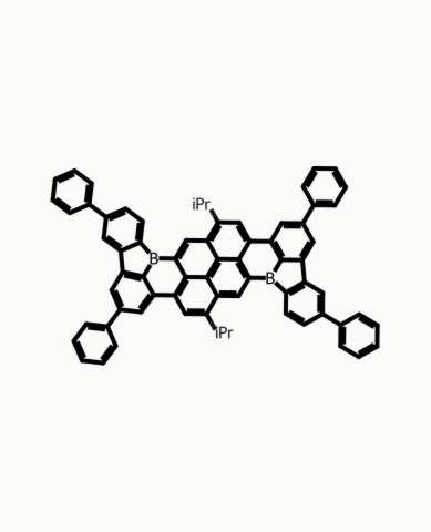 CC(C)c1cc2c3c(cc4c(C(C)C)cc5c6c(cc1c3c46)B1c3ccc(-c4ccccc4)cc3-c3cc(-c4ccccc4)cc-5c31)B1c3ccc(-c4ccccc4)cc3-c3cc(-c4ccccc4)cc-2c31